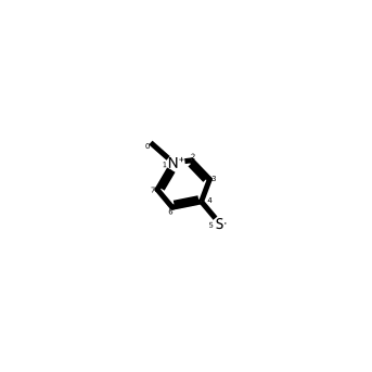 C[n+]1ccc([S])cc1